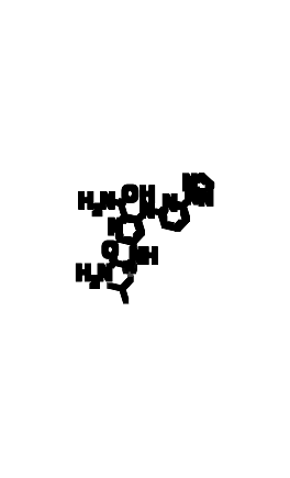 CC(C)C[C@@H](Nc1cnc(C(N)=O)c(Nc2cccc(-n3nccn3)n2)c1)C(N)=O